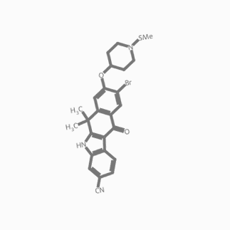 CSN1CCC(Oc2cc3c(cc2Br)C(=O)c2c([nH]c4cc(C#N)ccc24)C3(C)C)CC1